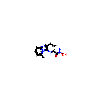 Cc1cccc2nc(CC(C)C)c(NCC(=O)NO)n12